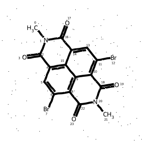 CN1C(=O)c2cc(Br)c3c4c(c(Br)cc(c24)C1=O)C(=O)N(C)C3=O